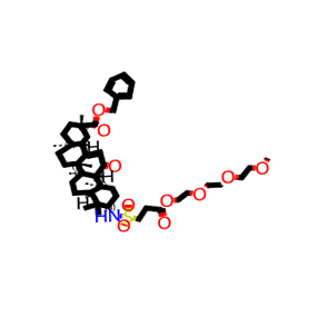 COCCOCCOCCOC(=O)CCS(=O)(=O)N[C@H]1CC[C@]2(C)[C@H]3C(=O)C=C4[C@@H]5C[C@@](C)(C(=O)OCc6ccccc6)CC[C@]5(C)CC[C@@]4(C)[C@]3(C)CC[C@H]2C1(C)C